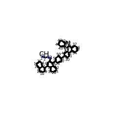 C/C=C\C=C/c1cc(-c2cccc3ccccc23)c2ccccc2c1-c1ccc(-c2ccc3c4ccccc4c4nc5ccccc5n4c3c2)cc1